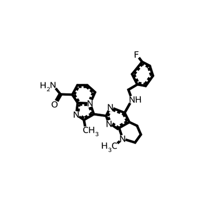 Cc1nc2c(C(N)=O)cccn2c1-c1nc(NCc2cccc(F)c2)c2c(n1)N(C)CCC2